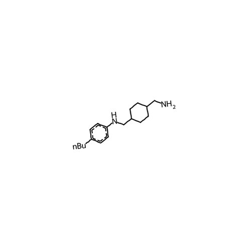 CCCCc1ccc(NCC2CCC(CN)CC2)cc1